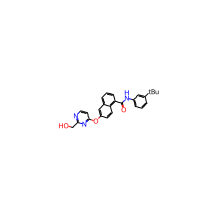 CC(C)(C)c1cccc(NC(=O)c2cccc3cc(Oc4ccnc(CO)n4)ccc23)c1